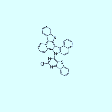 Clc1nc(-n2c3ccc4ccccc4c3c3c4sc5ccccc5c4c4ccccc4c32)c2sc3ccccc3c2n1